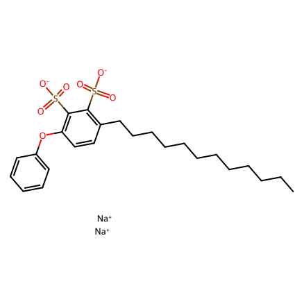 CCCCCCCCCCCCc1ccc(Oc2ccccc2)c(S(=O)(=O)[O-])c1S(=O)(=O)[O-].[Na+].[Na+]